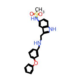 CS(=O)(=O)Nc1ccc2[nH]cc(CCNCc3cccc(Oc4ccccc4)c3)c2c1